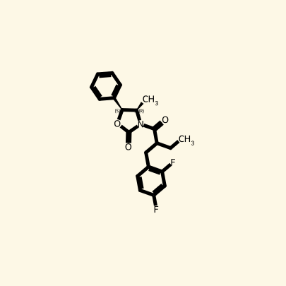 CCC(Cc1ccc(F)cc1F)C(=O)N1C(=O)O[C@@H](c2ccccc2)[C@H]1C